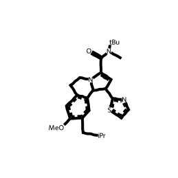 COc1cc2c(cc1CC(C)C)C1C(c3nccs3)C=C(C(=O)N(C)C(C)(C)C)N1CC2